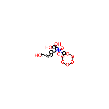 C[C@H](CCCC(C)(C)O)[C@H]1CCC2C(=CC3C4=C(Cn5c(=O)n(-c6ccc7c(c6)OCCOCCOCCOCCOCCO7)c(=O)n53)[C@@H](O)C[C@H](O)C4)CCC[C@@]21C